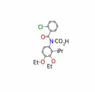 CCOc1ccc(N(C(=O)O)C(=O)c2ccccc2Cl)c(C(C)C)c1OCC